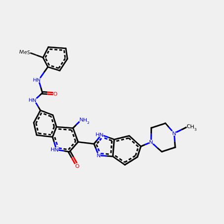 CSc1ccccc1NC(=O)Nc1ccc2[nH]c(=O)c(-c3nc4ccc(N5CCN(C)CC5)cc4[nH]3)c(N)c2c1